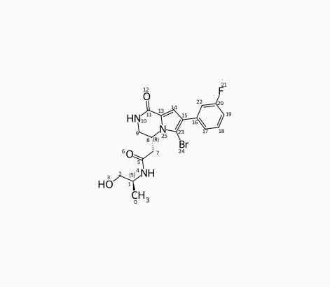 C[C@@H](CO)NC(=O)C[C@@H]1CNC(=O)c2cc(-c3cccc(F)c3)c(Br)n21